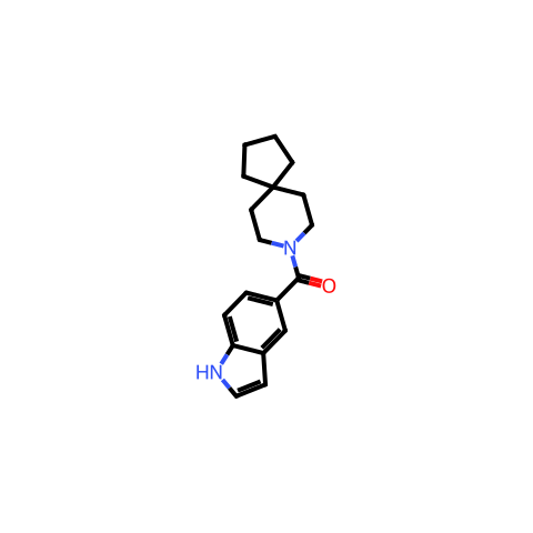 O=C(c1ccc2[nH]ccc2c1)N1CCC2(CCCC2)CC1